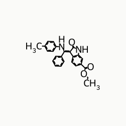 CCOC(=O)c1ccc2c(c1)NC(=O)/C2=C(\Nc1ccc(C)cc1)c1ccccc1